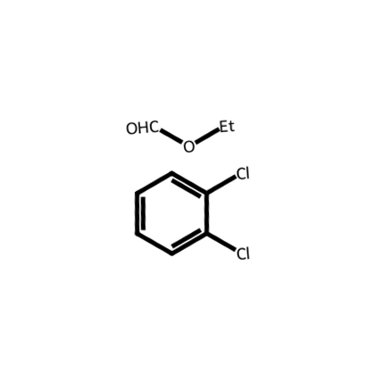 CCOC=O.Clc1ccccc1Cl